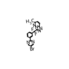 Cc1ccc2nnc(C(F)(F)c3cccc(-c4ncc(Br)cn4)c3)n2n1